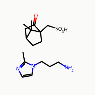 CC1(C)C2CCC1(CS(=O)(=O)O)C(=O)C2.Cc1nccn1CCCN